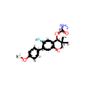 CCOc1ccc(-c2cc3c(cc2F)C(OC(N)=O)C(C)(C)CO3)cc1